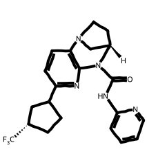 O=C(Nc1ccccn1)N1c2nc(C3CC[C@H](C(F)(F)F)C3)ccc2N2CC[C@H]1C2